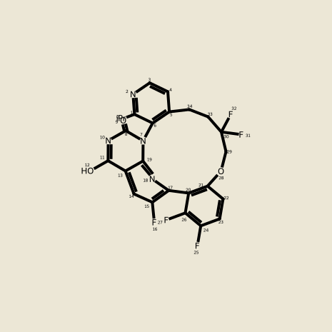 CC(C)c1nccc2c1-n1c(=O)nc(O)c3cc(F)c(nc31)-c1c(ccc(F)c1F)OCC(F)(F)CC2